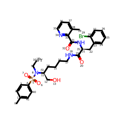 Cc1ccc(S(=O)(=O)N(CC(C)C)[C@H](CO)CCCCNC(=O)[C@H](Cc2ccccc2Br)NC(=O)c2ncccc2C)cc1